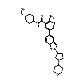 Nc1ncc(-c2ccc3nn(C4CCN(C5CCOCC5)C4)cc3c2)cc1C(=O)N[C@@H]1CC[C@@H](CO)OC1